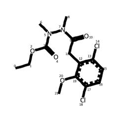 CCOC(=O)N(C)N(C)C(=O)Cc1c(Cl)ccc(Cl)c1OC